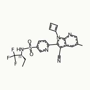 CC[C@H](NS(=O)(=O)c1ccc(-c2c(C#N)c3cc(C)cnc3n2C2=CC=C2)nc1)C(F)(F)F